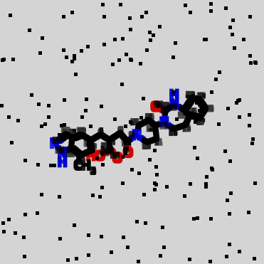 Cc1cc(CC(CC(=O)N2CCC(N3CCc4ccccc4NC3=O)CC2)C(=O)O)cc2cn[nH]c12